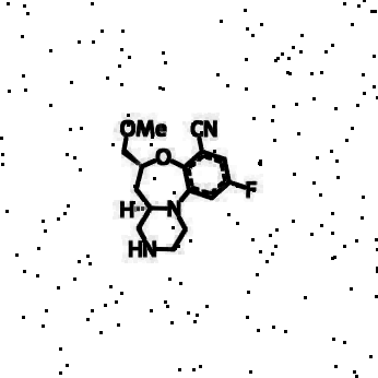 COC[C@@H]1C[C@@H]2CNCCN2c2cc(F)cc(C#N)c2O1